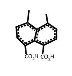 Cc1ccc(C(=O)O)c2c(C(=O)O)ccc(C)c12